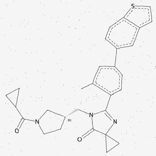 Cc1cc(-c2ccc3sccc3c2)ccc1C1=NC2(CC2)C(=O)N1C[C@@H]1CCN(C(=O)C2CC2)C1